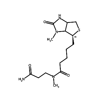 CN(CCC(N)=O)C(=O)CCCC[C@@H]1SCC2NC(=O)N(C)C21